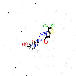 CC(C)(CO)NC(=O)CNC(=O)c1cc2sc(Cl)c(Cl)c2[nH]1